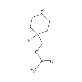 O=C(OCC1(F)CCNCC1)C(F)(F)F